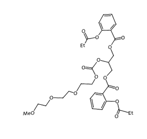 CCC(=O)Oc1ccccc1C(=O)OCC(COC(=O)c1ccccc1OC(=O)CC)OC(=O)OCCOCCOCCOC